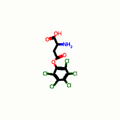 NC(CC(=O)Oc1c(Cl)c(Cl)c(Cl)c(Cl)c1Cl)C(=O)O